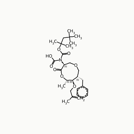 C=C(C)CO[C@@H]1[C@@H](Cc2ccccc2)COC[C@H](N(C(=O)O)C(=O)OC(C)(C)CC(C)(C)C)C(=O)O[C@H]1C